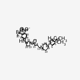 CC(C)(C)c1ccc(N2CCCN(CCCC(=O)N3CC[C@@H](Nc4ccc([N+](=O)[O-])c(C(F)(F)F)c4)C3)CC2)cc1